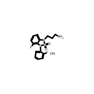 Cl.NCCCN1c2cccc(F)c2N(c2ccccc2F)S1(=O)=O